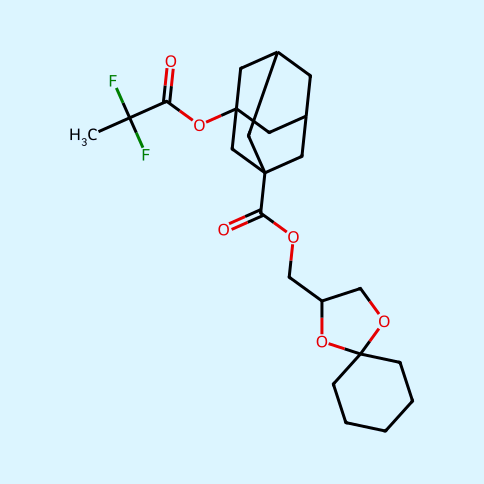 CC(F)(F)C(=O)OC12CC3CC(C1)CC(C(=O)OCC1COC4(CCCCC4)O1)(C3)C2